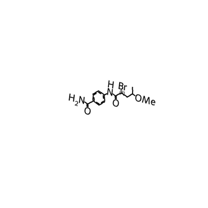 COC(C)C[C@@H](Br)C(=O)Nc1ccc(C(N)=O)cc1